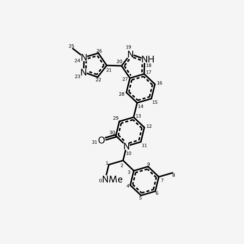 CNCC(c1cccc(C)c1)n1ccc(-c2ccc3[nH]nc(-c4cnn(C)c4)c3c2)cc1=O